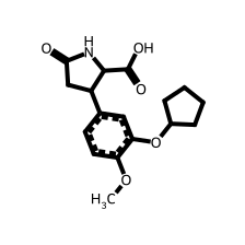 COc1ccc(C2CC(=O)NC2C(=O)O)cc1OC1CCCC1